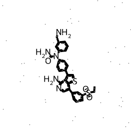 CCS(=O)(=O)c1cccc(-c2cnc(N)c3c(-c4ccc(N(C(N)=O)c5cccc(CN)c5)cc4)csc23)c1